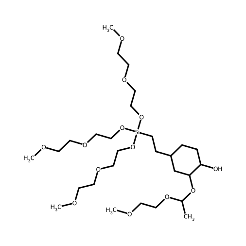 COCCOCCO[Si](CCC1CCC(O)C(OC(C)OCCOC)C1)(OCCOCCOC)OCCOCCOC